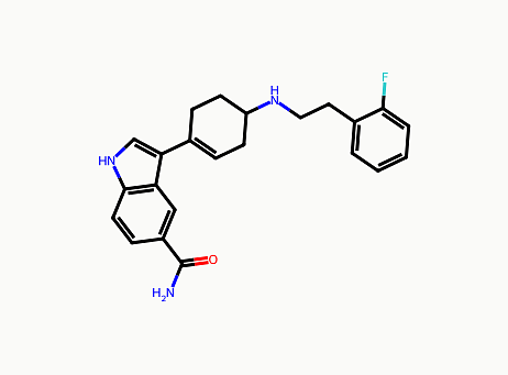 NC(=O)c1ccc2[nH]cc(C3=CCC(NCCc4ccccc4F)CC3)c2c1